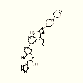 CC(Cn1cnnn1)Oc1cc(-c2cnc(Nc3cn(C4CCN(C5CCOCC5)CC4)nc3OCC(F)(F)F)nc2)ccc1C#N